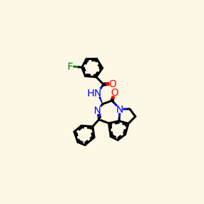 O=C(N[C@@H]1N=C(c2ccccc2)c2cccc3c2N(CC3)C1=O)c1cccc(F)c1